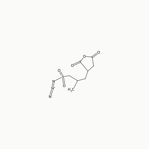 CC(CC1CC(=O)OC1=O)CS(=O)(=O)N=[N+]=[N-]